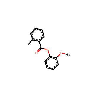 CCOc1ccccc1OC(=O)c1ccccc1C